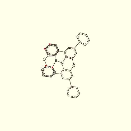 c1ccc(-c2cc3c(c(-c4ccccc4)c2)N(B2c4ccccc4Oc4ccccc42)c2c(cc(-c4ccccc4)cc2-c2ccccc2)O3)cc1